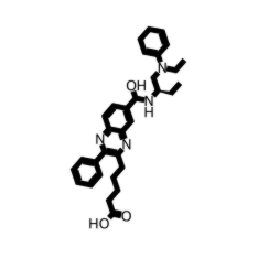 CC[C@H](CN(CC)C1=CCCC=C1)NC(O)c1ccc2nc(-c3ccccc3)c(CCCCC(=O)O)nc2c1